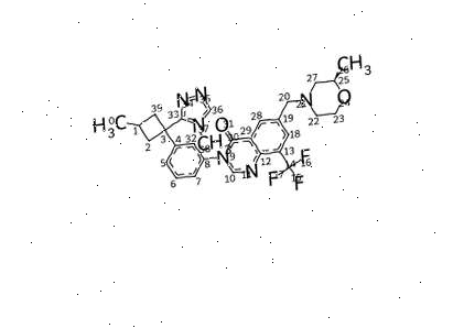 CC1CC(c2cccc(-n3cnc4c(C(F)(F)F)cc(CN5CCO[C@H](C)C5)cc4c3=O)c2)(c2nncn2C)C1